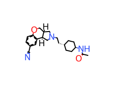 CC(=O)N[C@H]1CC[C@H](CCN2C[C@H]3COc4ccc(C#N)cc4[C@@H]3C2)CC1